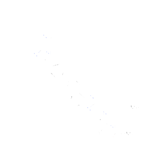 COCC1CC(c2nc3ccc4cc5c(cc4c3[nH]2)OCc2cc(-c3cnc(C4CC(C)CN4C(=O)O)[nH]3)ccc2-5)N(C(=O)[C@@H](NC(=O)OC)C(C)C)C1